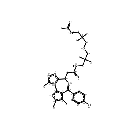 CC(=O)NCC(C)(C)COCC(C)(C)CNC(=O)CC1N=C(c2ccc(Cl)cc2)c2c(sc(C)c2C)-n2c(C)nnc21